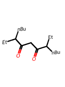 CCCCC(CC)C(=O)CC(=O)C(CC)CCCC